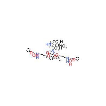 CC1=C(C(=O)O)C(c2ccc([N+](=O)[O-])cc2)C(C(=O)O)=C(C)N1.CC1=C(C(=O)OCCCCCCNCC(O)COc2ccccc2)C(c2ccccc2[N+](=O)[O-])C(C(=O)OC(C)CCCCCNCC(O)COc2ccccc2)=C(C)N1C